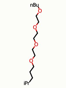 CCCCOCCOCCOCCOCCCC(C)C